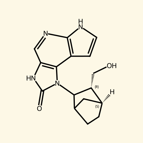 O=c1[nH]c2cnc3[nH]ccc3c2n1C1C2CC[C@@H](C2)[C@H]1CO